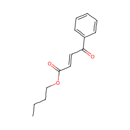 CCCCOC(=O)/C=C/C(=O)c1ccccc1